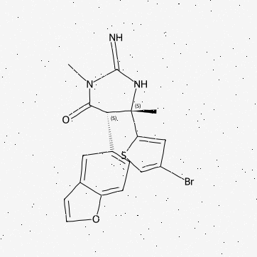 CN1C(=N)N[C@](C)(c2cc(Br)cs2)[C@H](c2ccc3occc3c2)C1=O